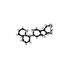 c1cnc2c(-c3cc4sc5ncncc5c4cn3)cccc2c1